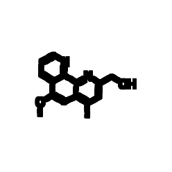 COc1cc2c(C)cc(CO)nc2c2ncccc12